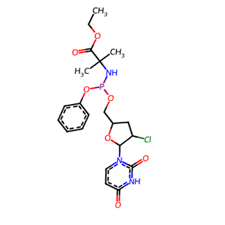 CCOC(=O)C(C)(C)NP(OCC1CC(Cl)C(n2ccc(=O)[nH]c2=O)O1)Oc1ccccc1